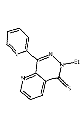 CCn1nc(-c2ccccn2)c2ncccc2c1=S